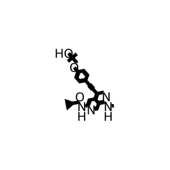 CNc1ncc(C#Cc2ccc(OCC(C)(C)O)cc2)c2cc(NC(=O)C3CC3)ncc12